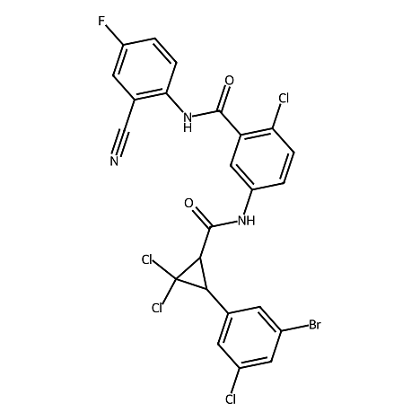 N#Cc1cc(F)ccc1NC(=O)c1cc(NC(=O)C2C(c3cc(Cl)cc(Br)c3)C2(Cl)Cl)ccc1Cl